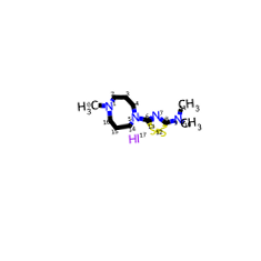 CN1CCCN(C2=NC(N(C)C)SS2)CCC1.I